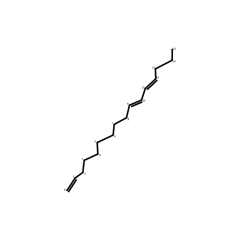 C=CCCCCCCCC=CC=CCCC